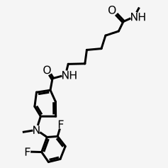 CNC(=O)CCCCCCNC(=O)c1ccc(N(C)c2c(F)cccc2F)cc1